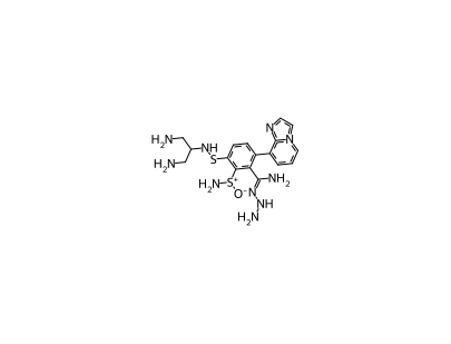 NCC(CN)NSc1ccc(-c2cccn3ccnc23)c(/C(N)=N/NN)c1[S+](N)[O-]